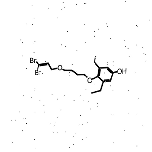 CCc1cc(O)cc(CC)c1OCCCCOCC=C(Br)Br